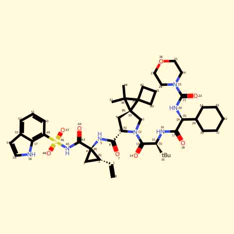 C=C[C@@H]1C[C@]1(NC(=O)[C@@H]1C[C@@]2(CN1C(=O)[C@@H](NC(=O)[C@@H](NC(=O)N1CCOCC1)C1CCCCC1)C(C)(C)C)C(C)(C)C21CCC1)C(=O)NS(=O)(=O)c1cccc2cc[nH]c12